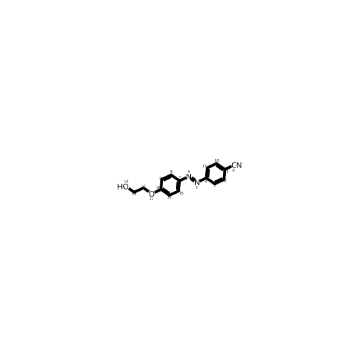 N#Cc1ccc(N=Nc2ccc(OCCO)cc2)cc1